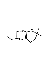 CCc1ccc2c(c1)CCC(C)(C)O2